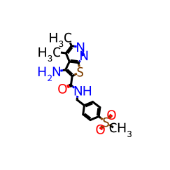 Cc1nnc2sc(C(=O)NCc3ccc(S(C)(=O)=O)cc3)c(N)c2c1C